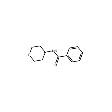 O=C(NN1CCOCC1)c1cc[c]cc1